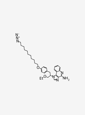 CCOCC(Cc1ccc(OCCCCCCCCCCCN=[N+]=[N-])cc1)n1cnc2c(N)nc3ccccc3c21